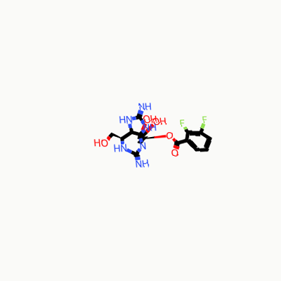 N=C1NC2[C@H](CO)NC(=N)N3C[C@H](OC(=O)c4cccc(F)c4F)C(O)(O)C23N1